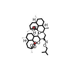 CC(C)CO/N=C(/C[C@H]1O[C@@H]2O[C@]3(C)CC[C@H]4[C@H](C)CC[C@@H]([C@H]1C)[C@@]24OO3)[C@H]1O[C@@H]2O[C@]3(C)CC[C@H]4[C@H](C)CC[C@@H]([C@H]1C)[C@@]24OO3